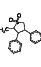 CC1C(c2ccccc2)C(c2ccccc2)CS1(=O)=O